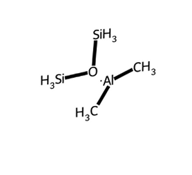 [CH3][Al][CH3].[SiH3]O[SiH3]